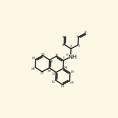 C=CCC(C=C)Nc1cc2c(c3ccccc13)CCC=C2